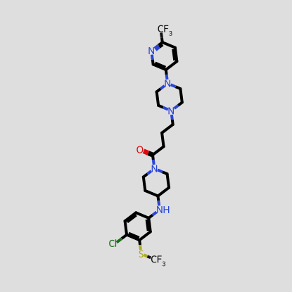 O=C(CCCN1CCN(c2ccc(C(F)(F)F)nc2)CC1)N1CCC(Nc2ccc(Cl)c(SC(F)(F)F)c2)CC1